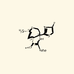 CNC(=S)N[C@@]1(c2nc(Br)cs2)CO[C@@H](C)C[C@H]1CO